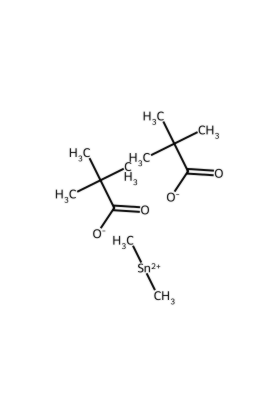 CC(C)(C)C(=O)[O-].CC(C)(C)C(=O)[O-].[CH3][Sn+2][CH3]